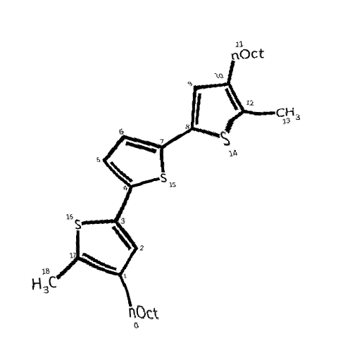 CCCCCCCCc1cc(-c2ccc(-c3cc(CCCCCCCC)c(C)s3)s2)sc1C